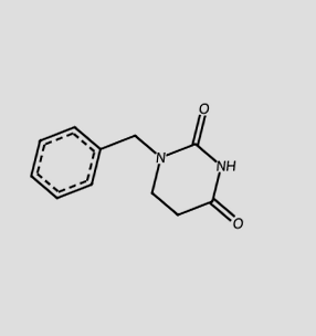 O=C1CCN(Cc2ccccc2)C(=O)N1